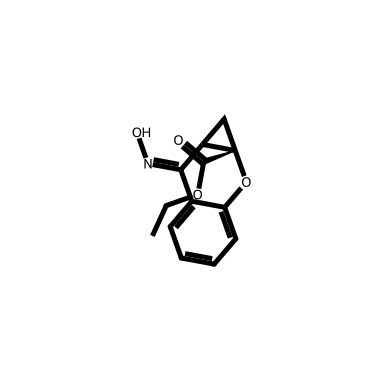 CCOC(=O)[C@]12CC1/C(=N\O)c1ccccc1O2